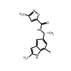 Cc1cc(C(=O)N[C@H](C)c2cc(F)c3[nH]c(C)cc3c2)on1